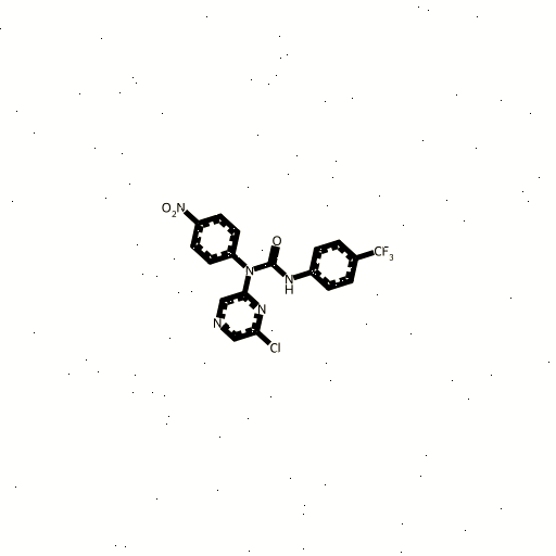 O=C(Nc1ccc(C(F)(F)F)cc1)N(c1ccc([N+](=O)[O-])cc1)c1cncc(Cl)n1